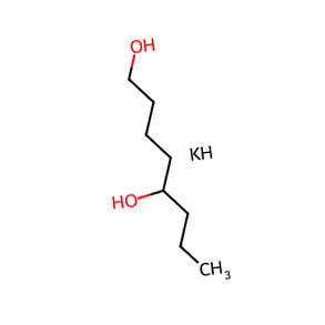 CCCC(O)CCCCO.[KH]